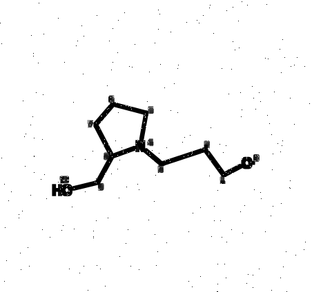 [O]CCCN1CCCC1CO